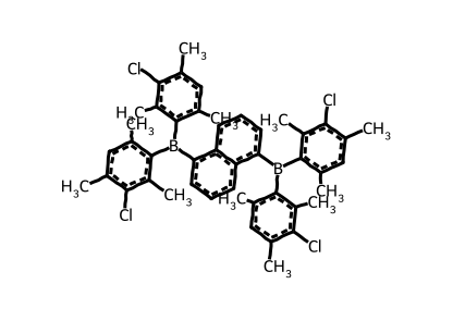 Cc1cc(C)c(B(c2c(C)cc(C)c(Cl)c2C)c2cccc3c(B(c4c(C)cc(C)c(Cl)c4C)c4c(C)cc(C)c(Cl)c4C)cccc23)c(C)c1Cl